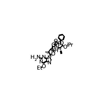 C#C[C@H](NP(=O)(Oc1ccccc1)OC1C2[C@@H]1O[C@@H](n1cnc3c(OCC)nc(N)nc31)[C@H]2C)C(=O)OC(C)C